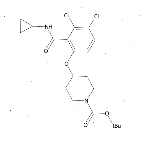 CC(C)(C)OC(=O)N1CCC(Oc2ccc(Cl)c(Cl)c2C(=O)NC2CC2)CC1